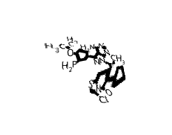 CC[C@@H](c1cc2scc(Cl)n2c(=O)c1-c1ccccc1)n1nc(-c2ccc(OC(C)C)c(P)c2)c2c(N)ncnc21